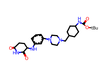 CC(C)(C)OC(=O)NC1CCC(CN2CCN(c3cccc(NC4CCC(=O)NC4=O)c3)CC2)CC1